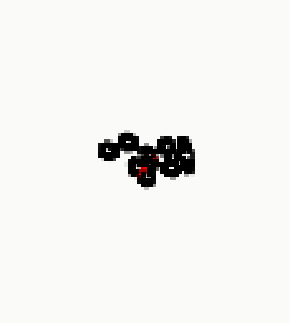 c1ccc(-c2cccc(-c3cc(-c4cccc5c4-c4c(-c6ccc7cccnc7c6)cccc4C54c5ccccc5Sc5ccccc54)nc(-c4ccccc4)n3)c2)cc1